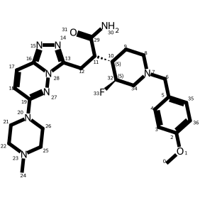 COc1ccc(CN2CC[C@@H](C(Cc3nnc4ccc(N5CCN(C)CC5)nn34)C(N)=O)[C@H](F)C2)cc1